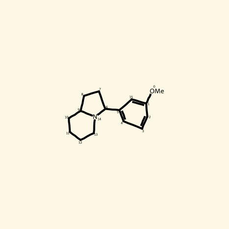 COc1cccc(C2CCC3CCCCN32)c1